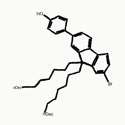 CCCCCCCCCCCCCCCCC1(CCCCCCCCCCCCCCCC)c2cc(Br)ccc2-c2ccc(-c3ccc(O)cc3)cc21